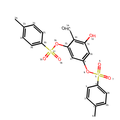 Cc1ccc(S(=O)(=O)Oc2cc(O)c(C=O)c(OS(=O)(=O)c3ccc(C)cc3)c2)cc1